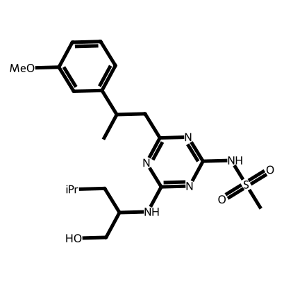 COc1cccc(C(C)Cc2nc(NC(CO)CC(C)C)nc(NS(C)(=O)=O)n2)c1